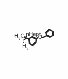 CCCCCCCC(C)(C)c1[c]c(OCc2ccccc2)ccc1